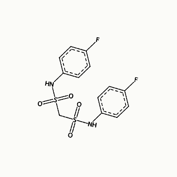 O=S(=O)(CS(=O)(=O)Nc1ccc(F)cc1)Nc1ccc(F)cc1